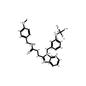 COc1ccc(CNC(=O)CCc2nc3cccnc3n2Cc2cccc(OC(F)(F)F)c2)cc1